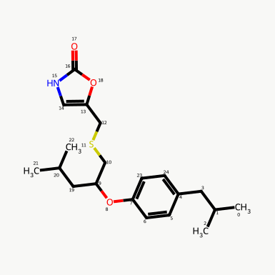 CC(C)Cc1ccc(OC(CSCc2c[nH]c(=O)o2)CC(C)C)cc1